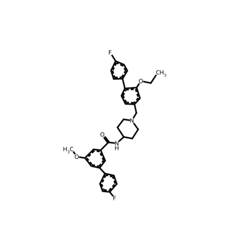 CCOc1cc(CN2CCC(NC(=O)c3cc(OC)cc(-c4ccc(F)cc4)c3)CC2)ccc1-c1ccc(F)cc1